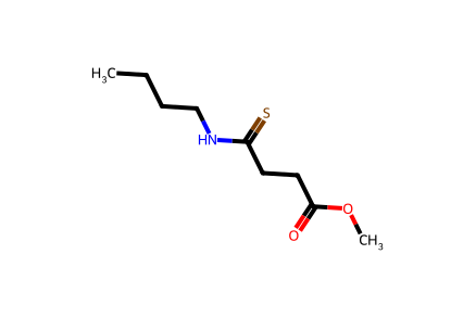 CCCCNC(=S)CCC(=O)OC